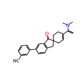 C=C(C1=CCC2(CC1)Cc1ccc(-c3cccc(C#N)c3)cc1C2=O)N(C)C